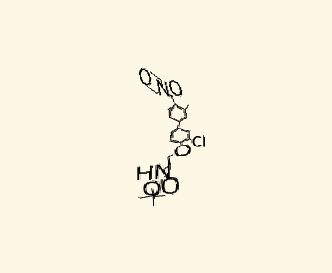 Cc1cc(-c2ccc(OCCNC(=O)OC(C)(C)C)c(Cl)c2)ccc1C(=O)N1CCOCC1